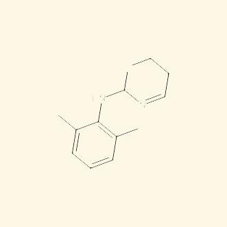 Cc1cccc(C)c1NC1N=CCCS1